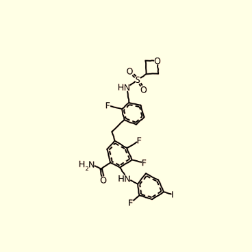 NC(=O)c1cc(Cc2cccc(NS(=O)(=O)C3COC3)c2F)c(F)c(F)c1Nc1ccc(I)cc1F